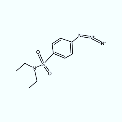 CCN(CC)S(=O)(=O)c1ccc(N=[N+]=[N-])cc1